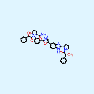 NC(=O)[C@@H]1CCC[N+]1(C(=O)[C@H](O)c1ccccc1)c1cccc(-c2ncc(-c3ccc4[nH]c([C@@H]5CCCN5C(=O)[C@H](O)c5ccccc5)nc4c3)o2)c1